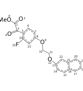 COC(=O)C(=O)c1ccc(OCCOc2ccc3ccccc3c2)cc1F